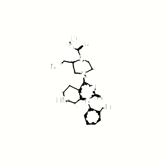 CC(C)c1ccccc1-n1c2c(c(N3CCN(C(=O)OC(C)(C)C)C(CC#N)C3)nc1=O)CCNC2